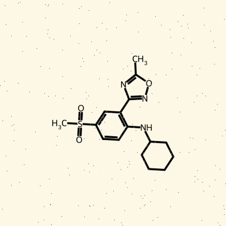 Cc1nc(-c2cc(S(C)(=O)=O)ccc2NC2CCCCC2)no1